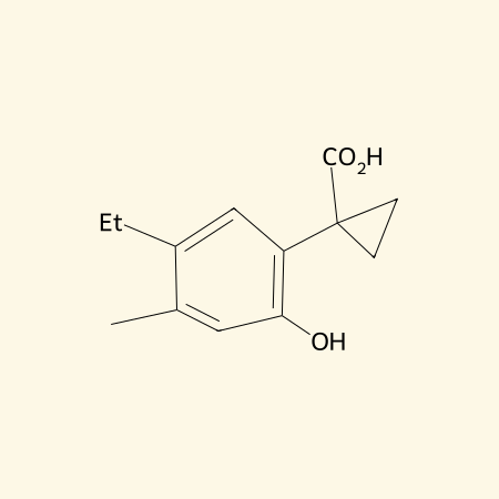 CCc1cc(C2(C(=O)O)CC2)c(O)cc1C